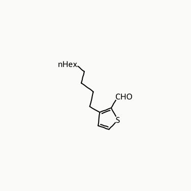 CCCCCCCCCCc1ccsc1C=O